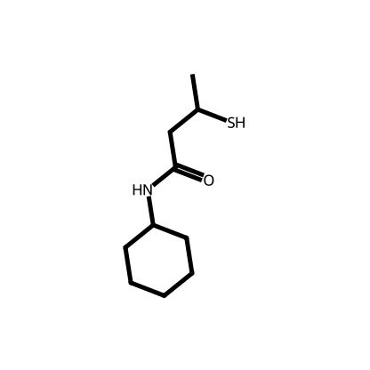 CC(S)CC(=O)NC1CCCCC1